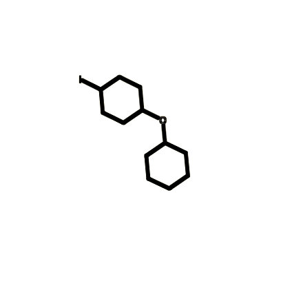 IC1CCC(OC2CCCCC2)CC1